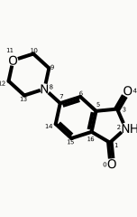 O=C1NC(=O)c2cc(N3CCOCC3)ccc21